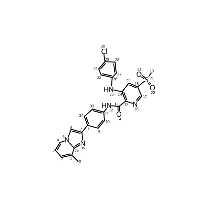 Cc1cccn2cc(-c3ccc(NC(=O)c4ncc(S(C)(=O)=O)cc4Nc4ccc(Cl)cc4)cc3)nc12